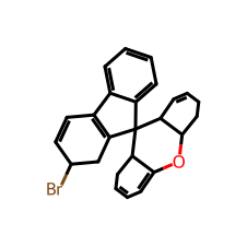 BrC1C=CC2=C(C1)C1(c3ccccc32)C2CC=CC=C2OC2CCC=CC21